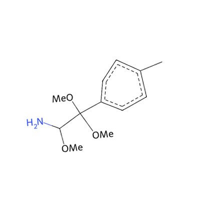 COC(N)C(OC)(OC)c1ccc(C)cc1